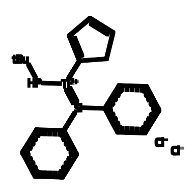 CC(C)(C)[PH][Ti+2]([C]1=CC=CC1)=[Si](c1ccccc1)c1ccccc1.[Cl-].[Cl-]